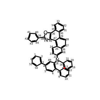 c1ccc(-c2ccc(-c3ccccc3)c(N(c3ccccc3)c3ccc4c(ccc5c6ccccc6c6oc(-c7ccccc7)nc6c45)c3)c2)cc1